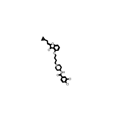 O=C(NC1CCN(CCCCOc2cccc3c2C(=O)C(=CCC2CC2)O3)CC1)c1ccc(Cl)c(Cl)c1